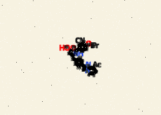 CC(=O)c1cccn2cc(-c3ccc(C[C@@H](CCO)NC(=O)c4ccc(OC(C)C)c(C#N)c4)cc3)nc12